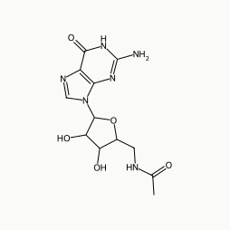 CC(=O)NCC1OC(n2cnc3c(=O)[nH]c(N)nc32)C(O)C1O